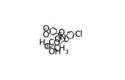 CC(C)(OCc1cc2cc(Cl)ccc2n1S(=O)(=O)c1ccc2c(c1)OCO2)C(=O)O